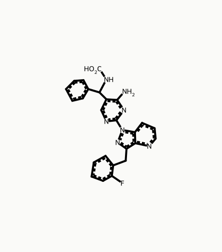 Nc1nc(-n2nc(Cc3ccccc3F)c3ncccc32)ncc1C(NC(=O)O)c1ccccc1